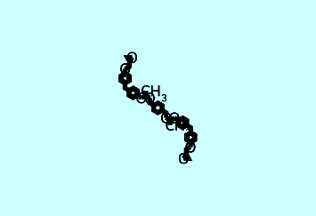 CC(OCC1CCC(COC(C)Oc2ccc(Cc3ccc(OCC4CO4)cc3)cc2)CC1)Oc1ccc(Cc2ccc(OCC3CO3)cc2)cc1